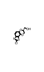 OC[C@H]1COc2c(ccc3nc(Cl)sc23)O1